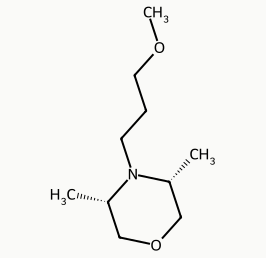 COCCCN1[C@H](C)COC[C@@H]1C